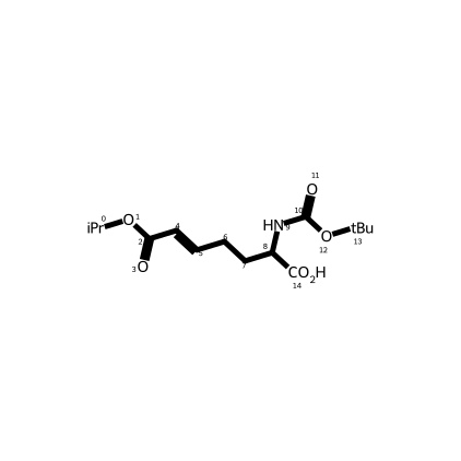 CC(C)OC(=O)C=CCCC(NC(=O)OC(C)(C)C)C(=O)O